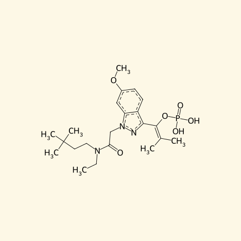 CCN(CCC(C)(C)C)C(=O)Cn1nc(C(OP(=O)(O)O)=C(C)C)c2ccc(OC)cc21